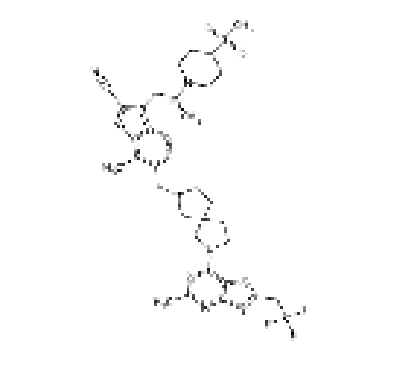 Cc1nc(N2CCC3(CCN(Cc4ccc5c(cc(C#N)n5C[C@H](C)N5CCC(S(C)(=O)=O)CC5)c4C)C3)C2)c2cc(CC(F)(F)F)sc2n1